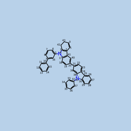 C1=Cc2c(n(-c3cccc(-c4ccccc4)c3)c3ccc(-c4ccc5c6ccccc6n(-c6ccccc6)c5c4)cc23)CC1